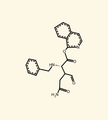 NC(=O)CC(C=O)[C@H](NCc1ccccc1)C(=O)Oc1nccc2ccccc12